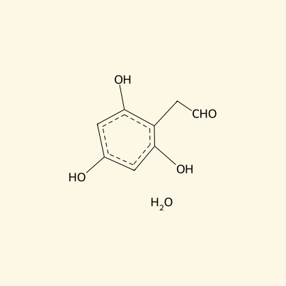 O.O=CCc1c(O)cc(O)cc1O